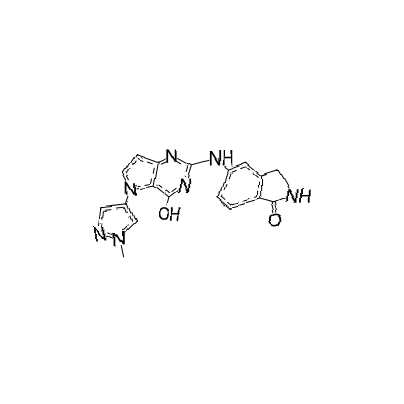 Cn1cc(-n2ccc3nc(Nc4ccc5c(c4)CNC5=O)nc(O)c32)cn1